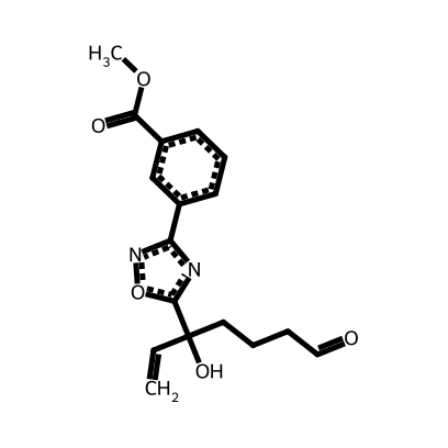 C=CC(O)(CCCC=O)c1nc(-c2cccc(C(=O)OC)c2)no1